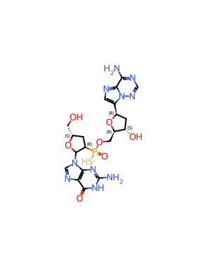 Nc1nc2c(ncn2C2O[C@H](CO)C[C@H]2P(=O)(S)OC[C@H]2O[C@@H](c3cnc4c(N)ncnn34)C[C@@H]2O)c(=O)[nH]1